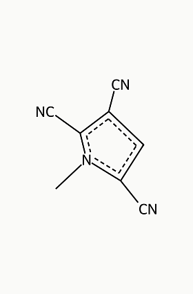 Cn1c(C#N)cc(C#N)c1C#N